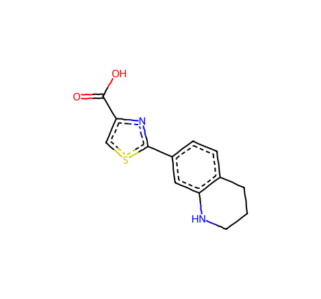 O=C(O)c1csc(-c2ccc3c(c2)NCCC3)n1